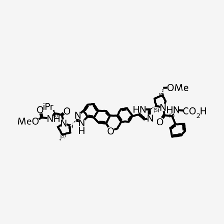 COC[C@H]1C[C@@H](c2ncc(-c3ccc4c(c3)COc3cc5c(ccc6nc([C@@H]7C[C@H](C)CN7C(=O)[C@@H](NC(=O)OC)C(C)C)[nH]c65)cc3-4)[nH]2)N(C(=O)[C@H](NC(=O)O)c2ccccc2)C1